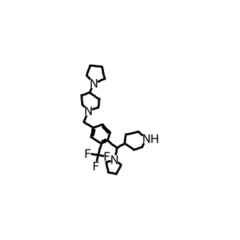 FC(F)(F)c1cc(CN2CCC(N3CCCC3)CC2)ccc1C(C1CCNCC1)N1CCCC1